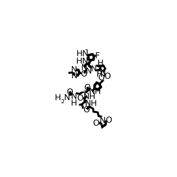 CNc1cc(F)cc2c1[nH]c1nc(Oc3cnc(C)nc3)nc(N3C[C@H]4CCN(C(=O)OCc5ccc(NC(=O)[C@H](CCCNC(N)=O)NC(=O)[C@@H](NC(=O)CCCCCN6C(=O)C=CC6=O)C(C)C)cc5)[C@H]4C3)c12